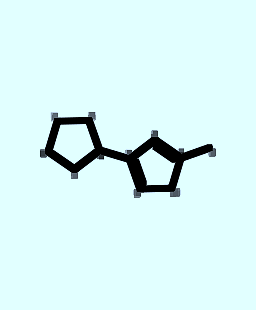 CC1=CC(C2CCCC2)=CC1